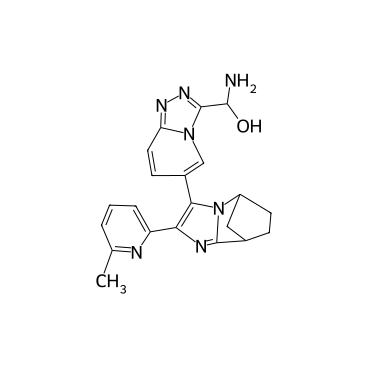 Cc1cccc(-c2nc3n(c2-c2ccc4nnc(C(N)O)n4c2)C2CCC3C2)n1